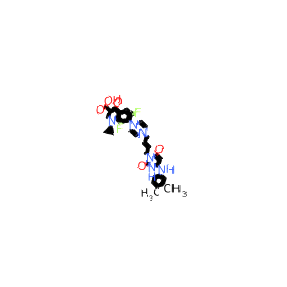 Cc1ccc(Nc2cc(=O)n(CCCCN3CCN(c4c(F)cc5c(=O)c(C(=O)O)cn(C6CC6)c5c4F)CC3)c(=O)[nH]2)cc1C